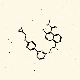 CNC(=O)c1c(F)cnc2c([C@H](C)CNc3cc(-c4ccc(OCC5CC5)nc4)ncn3)cccc12